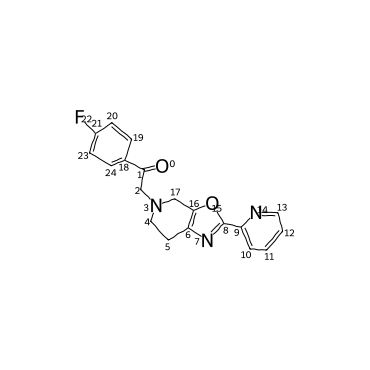 O=C(CN1CCc2nc(-c3ccccn3)oc2C1)c1ccc(F)cc1